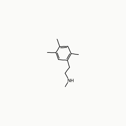 CNCCc1cc(C)c(C)cc1C